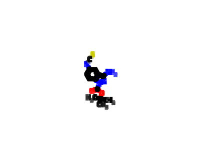 CC(C)(C)OC(=O)n1nc(N)c2cc(N=C=S)ccc21